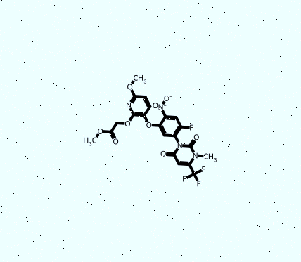 COC(=O)COc1nc(OC)ccc1Oc1cc(-n2c(=O)cc(C(F)(F)F)n(C)c2=O)c(F)cc1[N+](=O)[O-]